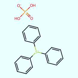 O=P([O-])(O)O.c1ccc([S+](c2ccccc2)c2ccccc2)cc1